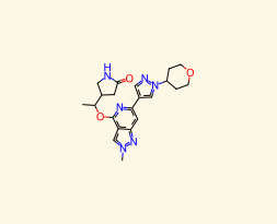 CC(Oc1nc(-c2cnn(C3CCOCC3)c2)cc2nn(C)cc12)C1CNC(=O)C1